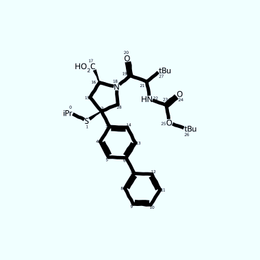 CC(C)S[C@@]1(c2ccc(-c3ccccc3)cc2)C[C@@H](C(=O)O)N(C(=O)C(NC(=O)OC(C)(C)C)C(C)(C)C)C1